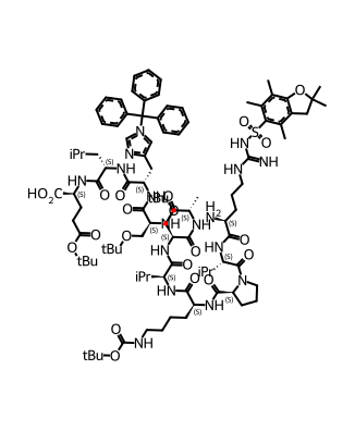 Cc1c(C)c(S(=O)(=O)NC(=N)NCCC[C@H](N)C(=O)N[C@H](C(=O)N2CCC[C@H]2C(=O)N[C@@H](CCCCNC(=O)OC(C)(C)C)C(=O)N[C@H](C(=O)N[C@@H](COC(C)(C)C)C(=O)N[C@@H](C)C(=O)N[C@@H](COC(C)(C)C)C(=O)N[C@@H](Cc2cn(C(c3ccccc3)(c3ccccc3)c3ccccc3)cn2)C(=O)N[C@@H](CC(C)C)C(=O)N[C@@H](CCC(=O)OC(C)(C)C)C(=O)O)C(C)C)C(C)C)c(C)c2c1OC(C)(C)C2